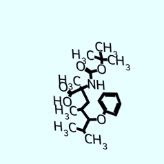 CC(C)C(Oc1ccccc1)C(C)C[C@@](C)(NC(=O)OC(C)(C)C)C(=O)O